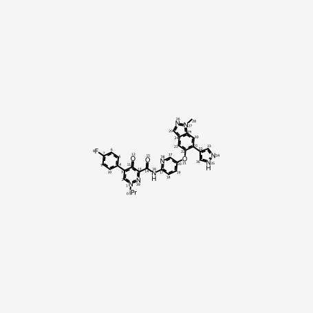 CC(C)n1cc(-c2ccc(F)cc2)c(=O)c(C(=O)Nc2ccc(Oc3cc4cnn(C)c4cc3-c3cn[nH]c3)cn2)n1